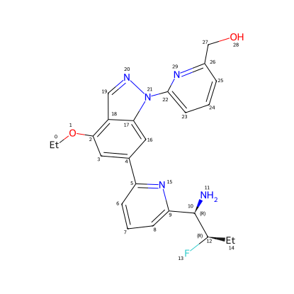 CCOc1cc(-c2cccc([C@@H](N)[C@H](F)CC)n2)cc2c1cnn2-c1cccc(CO)n1